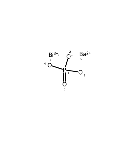 O=P([O-])([O-])[O-].[Ba+2].[Bi+3]